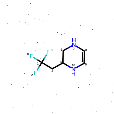 FC(F)(F)CC1CNC=CN1